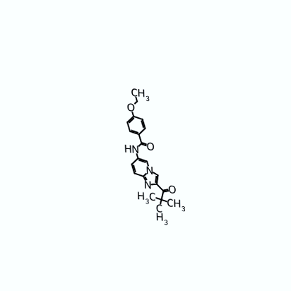 CCOc1ccc(C(=O)Nc2ccc3nc(C(=O)C(C)(C)C)cn3c2)cc1